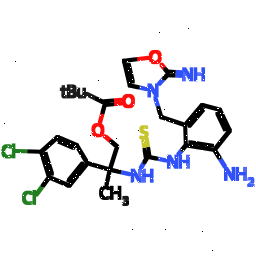 CC(C)(C)C(=O)OCC(C)(NC(=S)Nc1c(N)cccc1Cn1ccoc1=N)c1ccc(Cl)c(Cl)c1